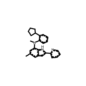 Cc1cc(N(C)c2ccccc2C2CCCC2)c2[nH]c(-c3ccccn3)cc2c1